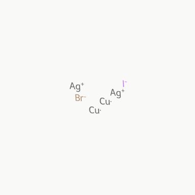 [Ag+].[Ag+].[Br-].[Cu].[Cu].[I-]